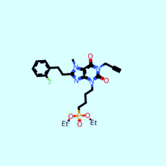 C#CCn1c(=O)c2c(nc(CCc3ccccc3F)n2C)n(CCCCP(=O)(OCC)OCC)c1=O